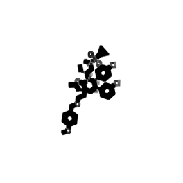 C=CC[C@]1(CCOCc2ccc(OC)cc2)C[C@H](c2cccc(Cl)c2)[C@@H](c2ccc(Cl)cc2)N([C@H](CC)CN(C)S(=O)(=O)C2CC2)C1=O